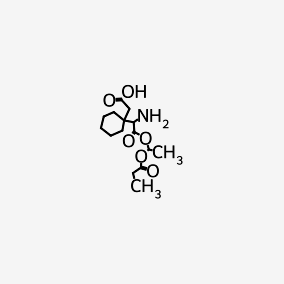 CCC(=O)OC(C)OC(=O)C(N)C1(CC(=O)O)CCCCC1